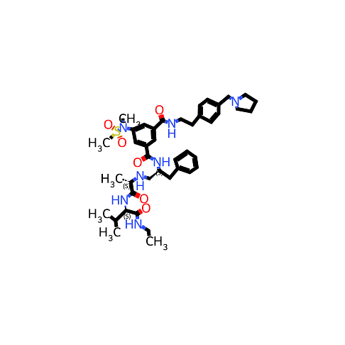 CCNC(=O)[C@@H](NC(=O)[C@H](C)NC[C@H](Cc1ccccc1)NC(=O)c1cc(C(=O)NCCc2ccc(CN3CCCC3)cc2)cc(N(C)S(C)(=O)=O)c1)C(C)C